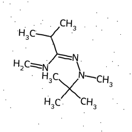 C=N/C(=N\N(C)C(C)(C)C)C(C)C